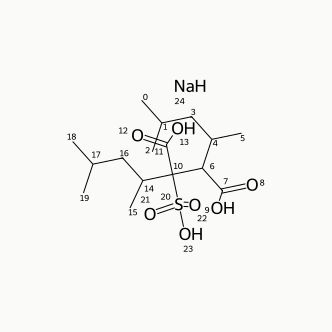 CC(C)CC(C)C(C(=O)O)C(C(=O)O)(C(C)CC(C)C)S(=O)(=O)O.[NaH]